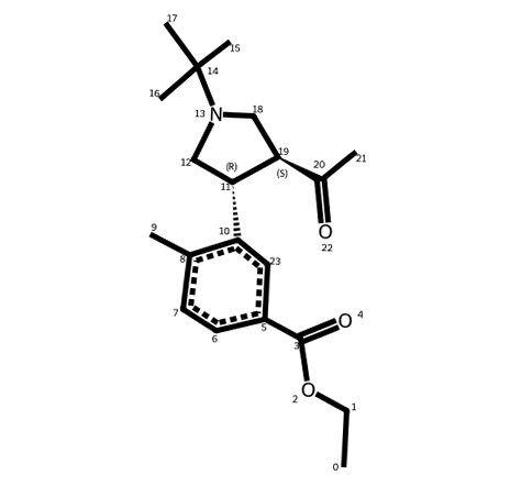 CCOC(=O)c1ccc(C)c([C@@H]2CN(C(C)(C)C)C[C@H]2C(C)=O)c1